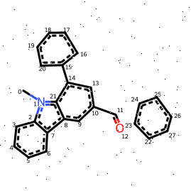 Cn1c2ccccc2c2cc(C=O)cc(-c3cc[c]cc3)c21.[c]1ccccc1